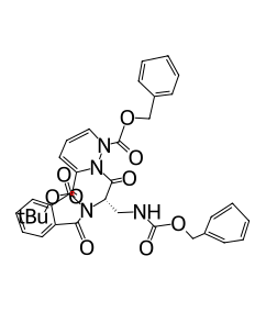 CC(C)(C)OC(=O)C1=CC=CN(C(=O)OCc2ccccc2)N1C(=O)[C@H](CNC(=O)OCc1ccccc1)N1C(=O)c2ccccc2C1=O